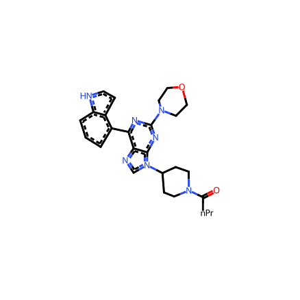 CCCC(=O)N1CCC(n2cnc3c(-c4cccc5[nH]ccc45)nc(N4CCOCC4)nc32)CC1